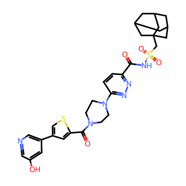 O=C(NS(=O)(=O)CC12CC3CC(CC(C3)C1)C2)c1ccc(N2CCN(C(=O)c3cc(-c4cncc(O)c4)cs3)CC2)nn1